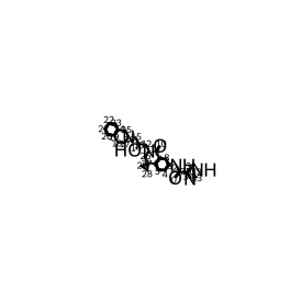 O=C(Nc1ccc2c(c1)C(=O)N(C[C@H](O)CN1CCc3ccccc3C1)CC21CC1)c1c[nH]cn1